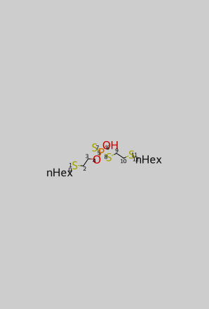 CCCCCCSCCOP(O)(=S)SCCSCCCCCC